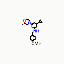 COc1ccc(CNc2cc(C3CC3)cc(N3CCO[C@H](C)C3)n2)cc1